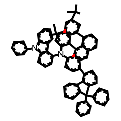 CC(C)(C)c1cc(-c2cccc3cccc(-c4ccccc4N(c4ccc(-c5cccc6c5-c5ccccc5C6(c5ccccc5)c5ccccc5)cc4)c4cccc5c4c4ccccc4n5-c4ccccc4)c23)cc(C(C)(C)C)c1